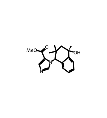 COC(=O)c1cncn1[C@@H]1c2ccccc2[C@@](C)(O)CC1(C)C